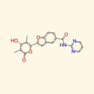 Cc1c(-c2cc3cc(C(=O)Nc4ncccn4)ccc3o2)oc(=O)c(C)c1O